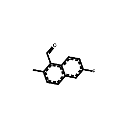 Cc1ccc2cc(F)ccc2c1C=O